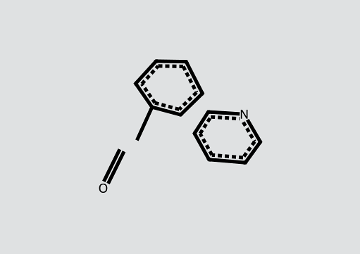 C=O.Cc1ccccc1.c1ccncc1